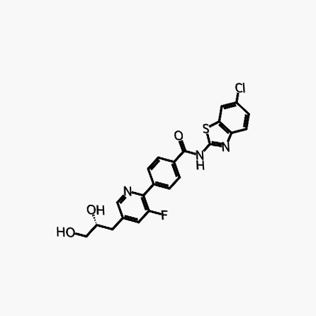 O=C(Nc1nc2ccc(Cl)cc2s1)c1ccc(-c2ncc(C[C@@H](O)CO)cc2F)cc1